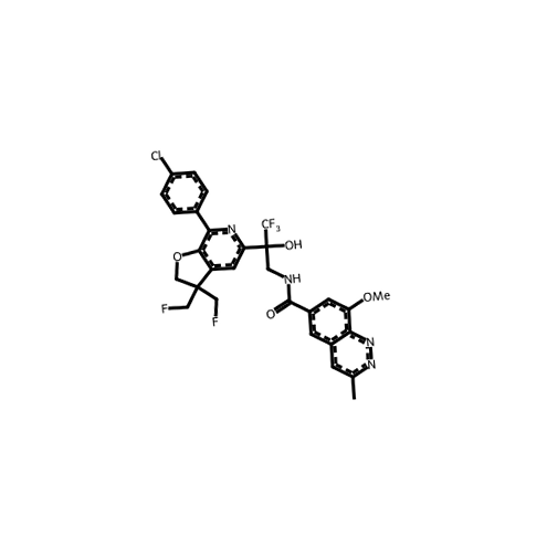 COc1cc(C(=O)NCC(O)(c2cc3c(c(-c4ccc(Cl)cc4)n2)OCC3(CF)CF)C(F)(F)F)cc2cc(C)nnc12